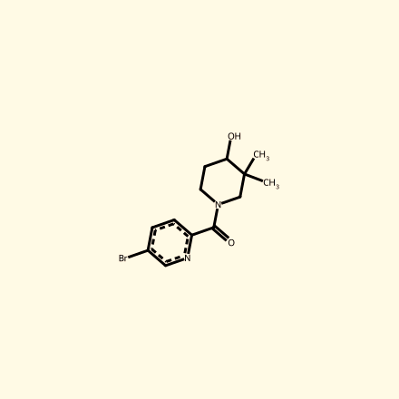 CC1(C)CN(C(=O)c2ccc(Br)cn2)CCC1O